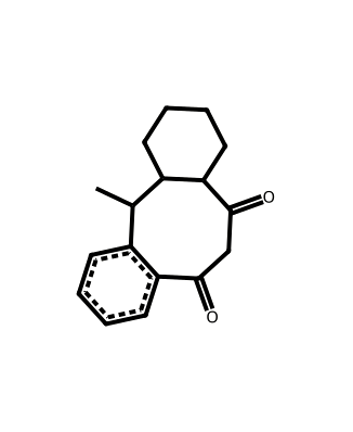 CC1c2ccccc2C(=O)CC(=O)C2CCCCC21